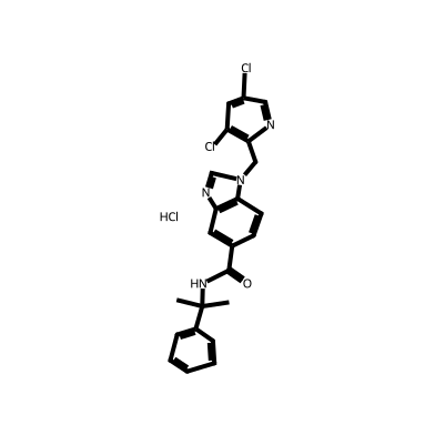 CC(C)(NC(=O)c1ccc2c(c1)ncn2Cc1ncc(Cl)cc1Cl)c1ccccc1.Cl